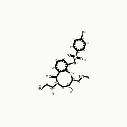 CNC[C@@H]1Oc2c(NS(=O)(=O)c3ccc(F)cc3)cccc2C(=O)N([C@H](C)CO)C[C@H]1C